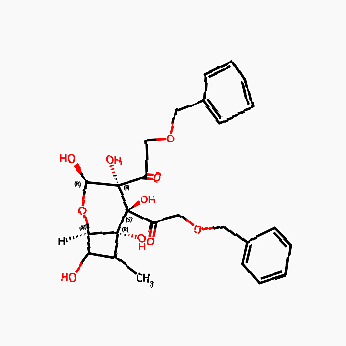 CC1C(O)[C@H]2O[C@@H](O)[C@@](O)(C(=O)COCc3ccccc3)[C@](O)(C(=O)COCc3ccccc3)[C@@]12O